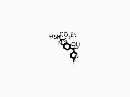 CCOC(=O)N(S)c1nc2c(s1)C(O)=C(C(=O)c1ccc(F)nc1)CC2